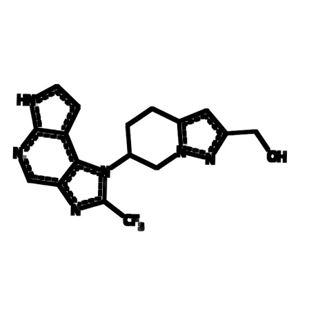 OCc1cc2n(n1)CC(n1c(C(F)(F)F)nc3cnc4[nH]ccc4c31)CC2